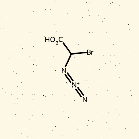 [N-]=[N+]=NC(Br)C(=O)O